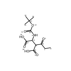 CCC(=O)C(C(=O)O)C(NC(=O)OC(C)(C)C)C(=O)O